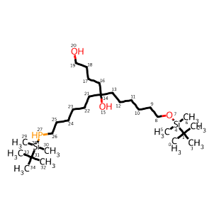 CC(C)(C)[Si](C)(C)OCCCCCCC(O)(CCCCO)CCCCCCP[Si](C)(C)C(C)(C)C